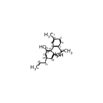 C=C(C)c1ccc(C)cc1-c1c(O)cc(CCC)cc1O